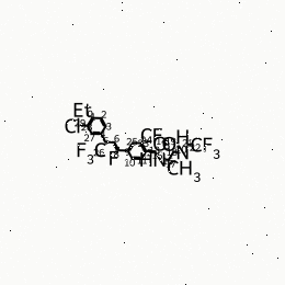 CCc1ccc(C(/C=C(\F)c2ccc(C(=O)N[C@H](C)C(=O)NCC(F)(F)F)c(C(F)(F)F)c2)C(F)(F)F)cc1Cl